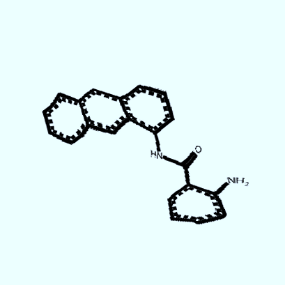 Nc1ccccc1C(=O)Nc1cccc2cc3ccccc3cc12